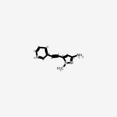 Cn1nc(N)cc1C#Cc1cccnc1